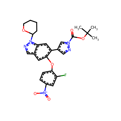 CC(C)(C)OC(=O)n1cc(-c2cc3c(cnn3C3CCCCO3)cc2Oc2ccc([N+](=O)[O-])cc2F)cn1